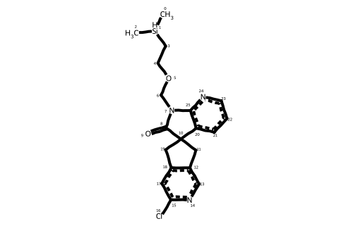 C[SiH](C)CCOCN1C(=O)C2(Cc3cnc(Cl)cc3C2)c2cccnc21